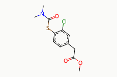 COC(=O)Cc1ccc(SC(=O)N(C)C)c(Cl)c1